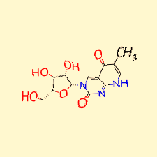 Cc1c[nH]c2nc(=O)n([C@@H]3O[C@H](CO)C(O)[C@@H]3O)cc2c1=O